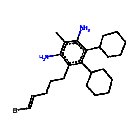 CCC=CCCCc1c(N)c(C)c(N)c(C2CCCCC2)c1C1CCCCC1